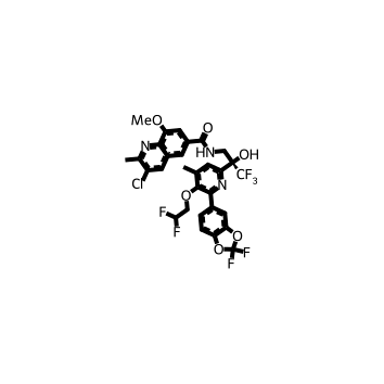 COc1cc(C(=O)NC[C@](O)(c2cc(C)c(OCC(F)F)c(-c3ccc4c(c3)OC(F)(F)O4)n2)C(F)(F)F)cc2cc(Cl)c(C)nc12